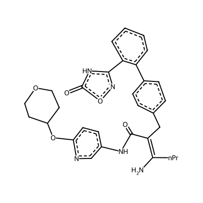 CCC/C(N)=C(\Cc1ccc(-c2ccccc2-c2noc(=O)[nH]2)cc1)C(=O)Nc1ccc(OC2CCOCC2)nc1